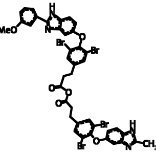 COc1cccc(-c2nc3cc(Oc4c(Br)cc(CCC(=O)OC(=O)CCc5cc(Br)c(Oc6ccc7[nH]c(C)nc7c6)c(Br)c5)cc4Br)ccc3[nH]2)c1